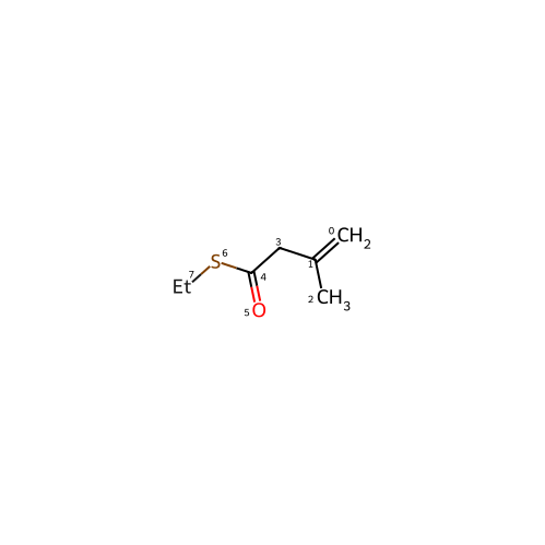 C=C(C)CC(=O)SCC